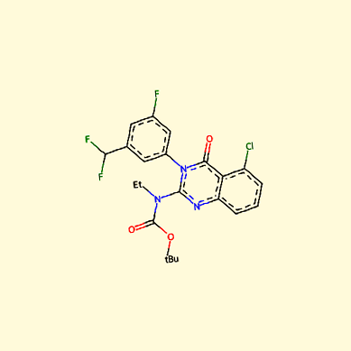 CCN(C(=O)OC(C)(C)C)c1nc2cccc(Cl)c2c(=O)n1-c1cc(F)cc(C(F)F)c1